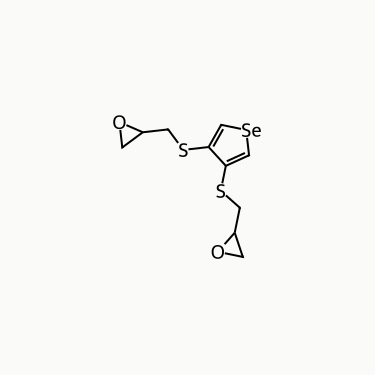 c1[se]cc(SCC2CO2)c1SCC1CO1